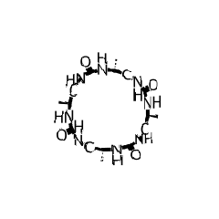 C[C@@H]1CNC(=O)N[C@@H](C)CNC(=O)N[C@H](C)CNC(=O)N[C@@H](C)CNC(=O)N1